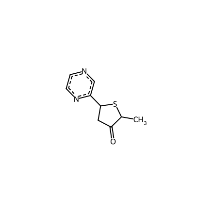 CC1SC(c2cnccn2)CC1=O